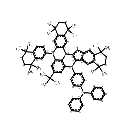 CC(C)(C)c1cc2c3c(c1)N(c1ccc(N(c4ccccc4)c4ccccc4)cc1)c1c(sc4cc5c(cc14)C(C)(C)CCC5(C)C)B3c1cc3c(cc1N2c1ccc2c(c1)C(C)(C)CCC2(C)C)C(C)(C)CCC3(C)C